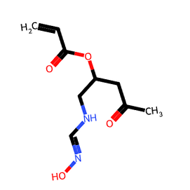 C=CC(=O)OC(CNC=NO)CC(C)=O